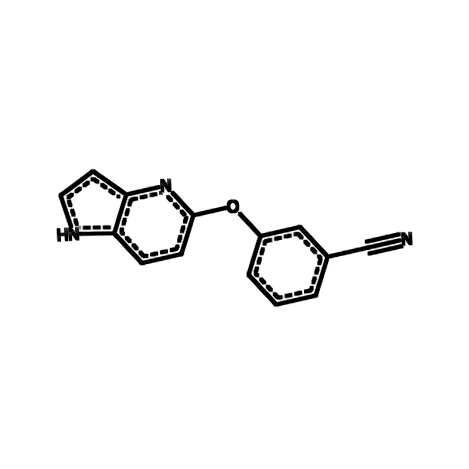 N#Cc1cccc(Oc2ccc3[nH]ccc3n2)c1